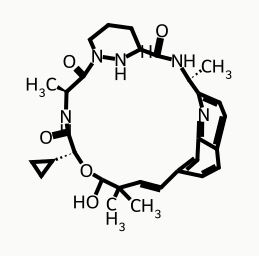 C[C@@H]1NC(=O)[C@@H](C2CC2)OC(O)C(C)(C)/C=C/c2ccc3ccc(nc3c2)[C@@H](C)NC(=O)[C@@H]2CCCN(N2)C1=O